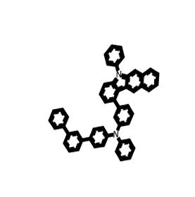 c1ccc(-c2cccc(-c3ccc(N(c4ccccc4)c4cccc(-c5cccc6c5c5cc7ccccc7cc5n6-c5ccccc5)c4)cc3)c2)cc1